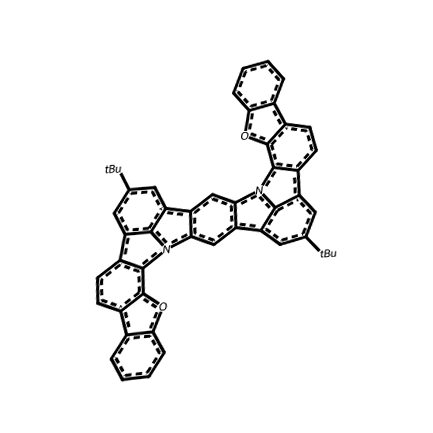 CC(C)(C)c1cc2c3cc4c(cc3n3c2c(c1)c1ccc2c5ccccc5oc2c13)c1cc(C(C)(C)C)cc2c3ccc5c6ccccc6oc5c3n4c12